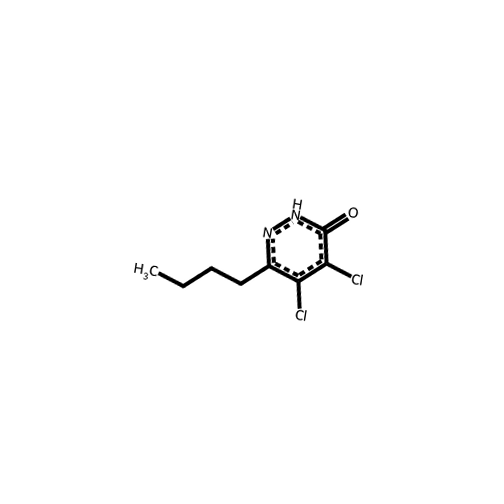 CCCCc1n[nH]c(=O)c(Cl)c1Cl